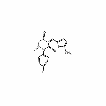 Cc1ccc(C=C2C(=O)NC(=O)N(c3ccc(F)cc3)C2=O)s1